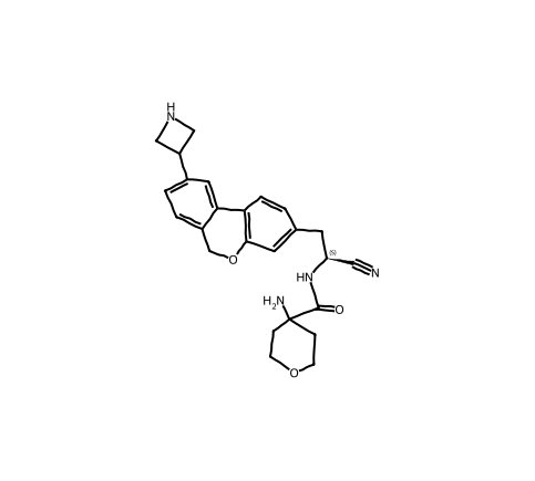 N#C[C@H](Cc1ccc2c(c1)OCc1ccc(C3CNC3)cc1-2)NC(=O)C1(N)CCOCC1